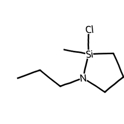 CCCN1CCC[Si]1(C)Cl